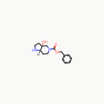 O=C(OCc1ccccc1)N1CC[C@@H]2NCC[C@]2(O)C1